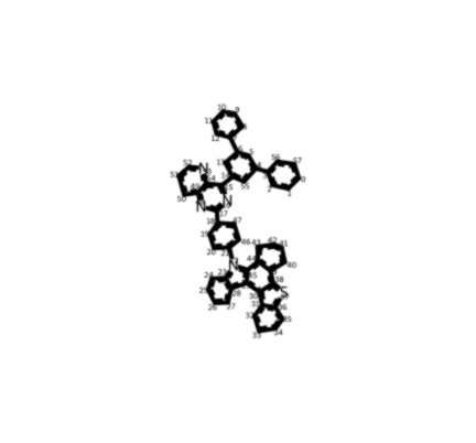 c1ccc(-c2cc(-c3ccccc3)cc(-c3nc(-c4ccc(-n5c6ccccc6c6c7c8ccccc8sc7c7ccccc7c65)cc4)nc4cccnc34)c2)cc1